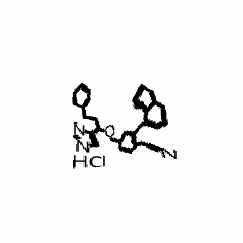 Cl.Cn1cncc1C(CCc1ccccc1)OCc1ccc(C#N)c(-c2cccc3ccccc23)c1